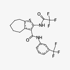 O=C(Nc1cccc(C(F)(F)F)c1)c1c(NC(=O)C(F)(F)F)sc2c1CCCCC2